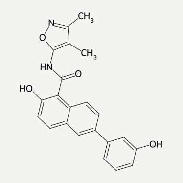 Cc1noc(NC(=O)c2c(O)ccc3cc(-c4cccc(O)c4)ccc23)c1C